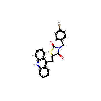 O=C1SC(=Cc2c3ccccc3nc3ccccc23)C(=O)N1Cc1ccc(Br)cc1